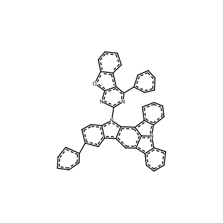 c1ccc(-c2ccc3c(c2)c2cc4c5ccccc5n5c6ccccc6c(c2n3-c2nc(-c3ccccc3)c3c(n2)oc2ccccc23)c45)cc1